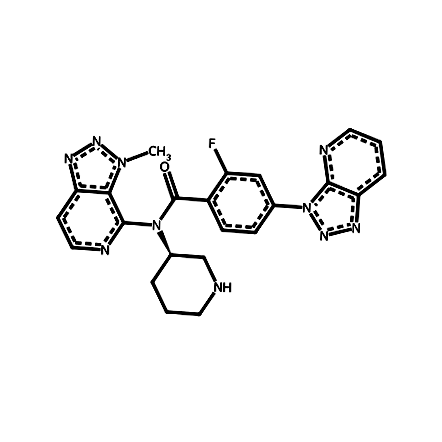 Cn1nnc2ccnc(N(C(=O)c3ccc(-n4nnc5cccnc54)cc3F)[C@@H]3CCCNC3)c21